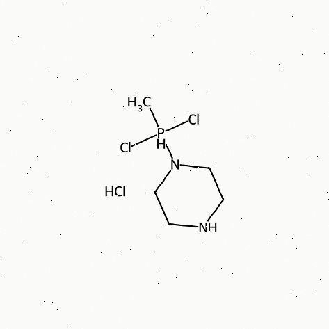 C[PH](Cl)(Cl)N1CCNCC1.Cl